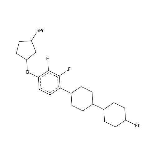 CCCC1CCC(Oc2ccc(C3CCC(C4CCC(CC)CC4)CC3)c(F)c2F)C1